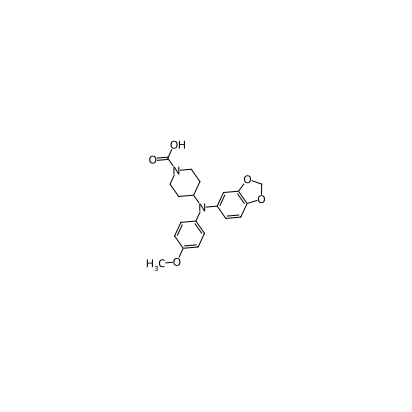 COc1ccc(N(c2ccc3c(c2)OCO3)C2CCN(C(=O)O)CC2)cc1